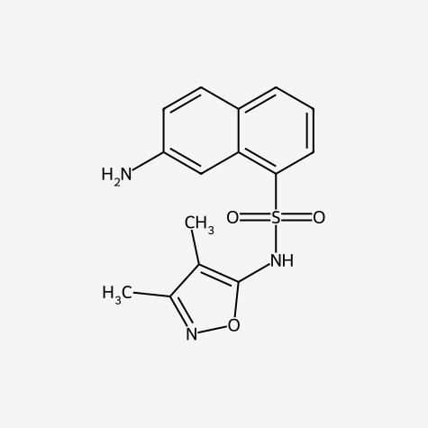 Cc1noc(NS(=O)(=O)c2cccc3ccc(N)cc23)c1C